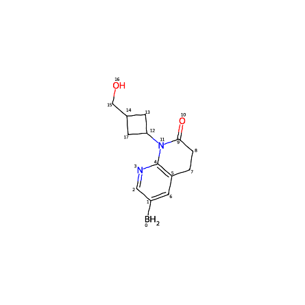 Bc1cnc2c(c1)CCC(=O)N2C1CC(CO)C1